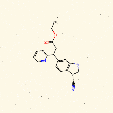 CCOC(=O)CC(c1ccc2c(c1)NCC2C#N)c1ccccn1